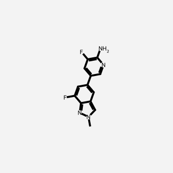 Cn1cc2cc(-c3cnc(N)c(F)c3)cc(F)c2n1